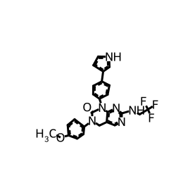 COc1ccc(N2Cc3cnc(NCC(F)(F)F)nc3N(c3ccc(-c4cc[nH]c4)cc3)C2=O)cc1